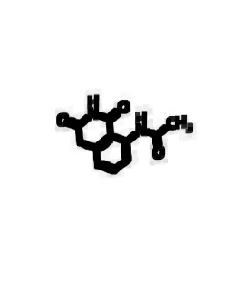 CC(=O)Nc1cccc2c1C(=O)NC(=O)C2